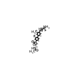 CC(=O)NC[C@H]1CN(c2ccc(-c3ccc(C=NNC(N)=S)c(C)c3)c(F)c2)C(=O)O1